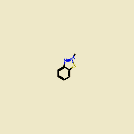 C[n+]1nc2ccccc2s1